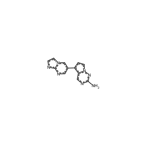 Nc1ncc2c(-c3cnc4nccn4c3)ccn2n1